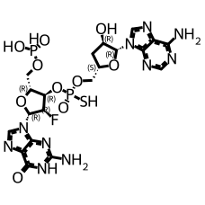 Nc1nc2c(ncn2[C@@H]2O[C@H](CO[PH](=O)O)[C@@H](OP(=O)(S)OC[C@@H]3C[C@@H](O)[C@H](n4cnc5c(N)ncnc54)O3)[C@H]2F)c(=O)[nH]1